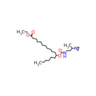 CCCCCCC(CCCCCCCCCCC(=O)OCC)OC(=O)NCCC(C)N1CC1